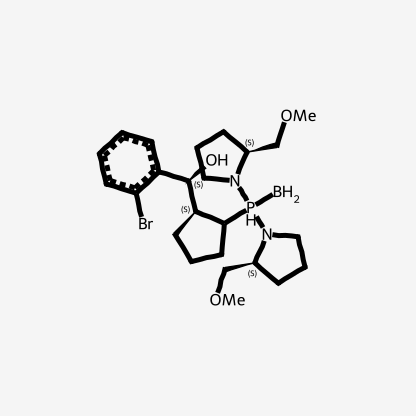 B[PH](C1CCC[C@H]1[C@H](O)c1ccccc1Br)(N1CCC[C@H]1COC)N1CCC[C@H]1COC